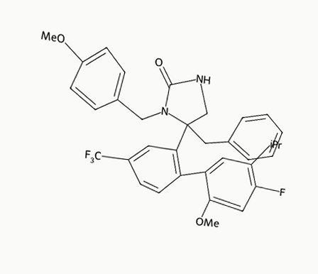 COc1ccc(CN2C(=O)NCC2(Cc2ccccc2)c2cc(C(F)(F)F)ccc2-c2cc(C(C)C)c(F)cc2OC)cc1